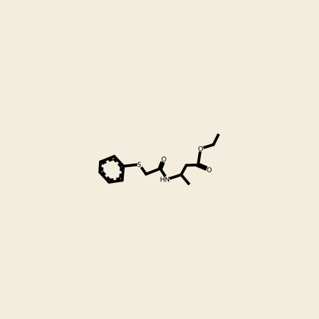 CCOC(=O)CC(C)NC(=O)CSc1ccccc1